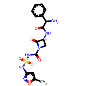 Cc1cc(NS(=O)(=O)NC(=O)N2C[C@H](NC(=O)C(N)c3ccccc3)C2=O)no1